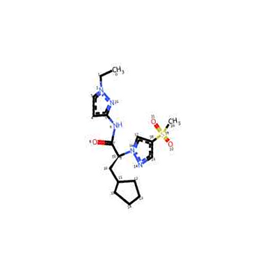 CCn1ccc(NC(=O)[C@H](CC2CCCC2)n2cc(S(C)(=O)=O)cn2)n1